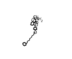 N#Cc1oc2cccc(C(=O)c3ccc(OCCCCCCCCc4ccccc4)cc3)c2c(=O)c1N